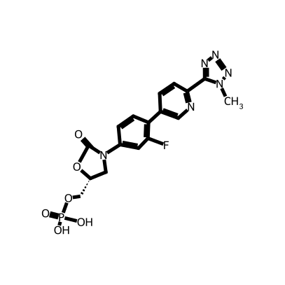 Cn1nnnc1-c1ccc(-c2ccc(N3C[C@H](COP(=O)(O)O)OC3=O)cc2F)cn1